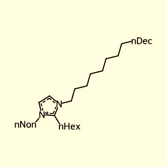 CCCCCCCCCCCCCCCCCCn1cc[n+](CCCCCCCCC)c1CCCCCC